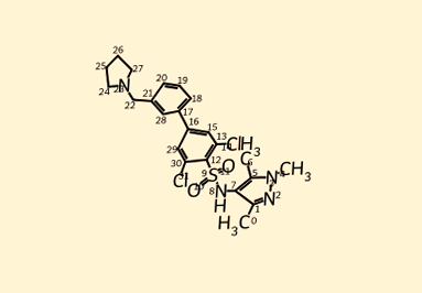 Cc1nn(C)c(C)c1NS(=O)(=O)c1c(Cl)cc(-c2cccc(CN3CCCC3)c2)cc1Cl